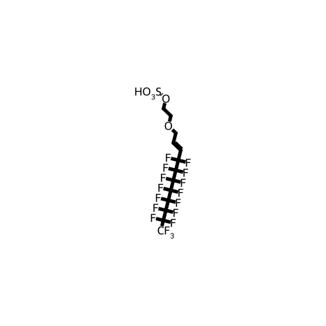 O=S(=O)(O)OCCOCC=CC(F)(F)C(F)(F)C(F)(F)C(F)(F)C(F)(F)C(F)(F)C(F)(F)C(F)(F)F